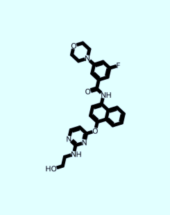 O=C(Nc1ccc(Oc2ccnc(NCCO)n2)c2ccccc12)c1cc(F)cc(N2CCOCC2)c1